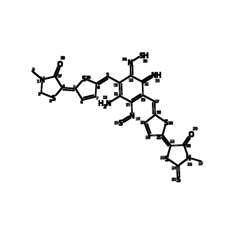 CN1CS/C(=c2\cc/c(=C\C3=C(N)C(N=S)=C(/C=c4\cc/c(=C5\SC(=S)N(C)C5=O)s4)C(=N)/C3=N\S)s2)C1=O